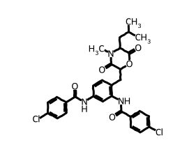 CC(C)CC1C(=O)OC(Cc2ccc(NC(=O)c3ccc(Cl)cc3)cc2NC(=O)c2ccc(Cl)cc2)C(=O)N1C